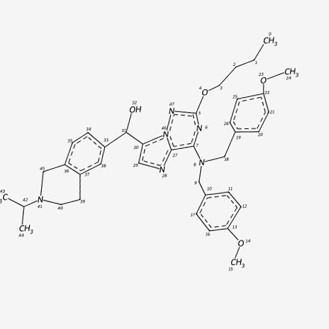 CCCCOc1nc(N(Cc2ccc(OC)cc2)Cc2ccc(OC)cc2)c2ncc(C(O)c3ccc4c(c3)CCN(C(C)C)C4)n2n1